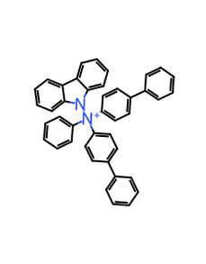 c1ccc(-c2ccc([N+](c3ccccc3)(c3ccc(-c4ccccc4)cc3)n3c4ccccc4c4ccccc43)cc2)cc1